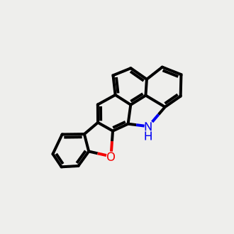 c1cc2ccc3cc4c5ccccc5oc4c4[nH]c(c1)c2c34